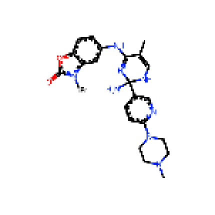 CC1=CNC(N)(c2ccc(N3CCN(C)CC3)nc2)N=C1Nc1ccc2oc(=O)n(C(C)C)c2c1